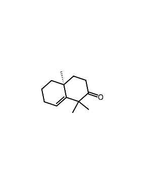 CC1(C)C(=O)CC[C@]2(C)CCCC=C12